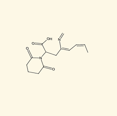 C=N/C(=C\C=C/C)CC(C(=O)O)N1C(=O)CCCC1=O